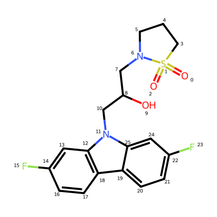 O=S1(=O)CCCN1CC(O)Cn1c2cc(F)ccc2c2ccc(F)cc21